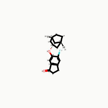 O=C1CCc2cc(F)c(O[C@@H]3C[C@@H]4CC[C@@H](C4)C3)cc21